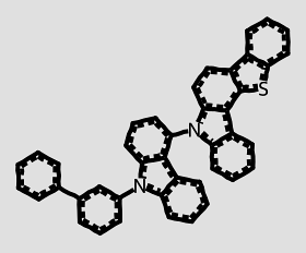 c1ccc(-c2cccc(-n3c4ccccc4c4c(-n5c6ccccc6c6c7sc8ccccc8c7ccc65)cccc43)c2)cc1